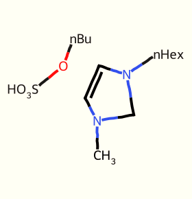 CCCCCCN1C=CN(C)C1.CCCCOS(=O)(=O)O